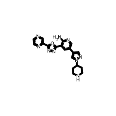 Nc1ncc(-c2cnn(C3CCNCC3)c2)cc1-c1nnc(-c2cnccn2)o1